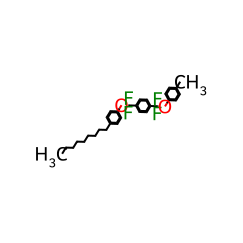 CCCCCCCCCc1ccc(OC(F)(F)c2ccc(C(F)(F)Oc3ccc(C)cc3)cc2)cc1